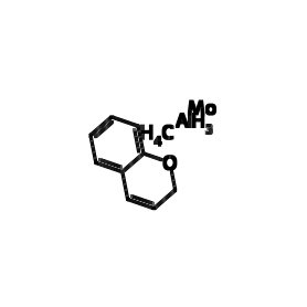 C.C1=Cc2ccccc2OC1.[AlH3].[Mo]